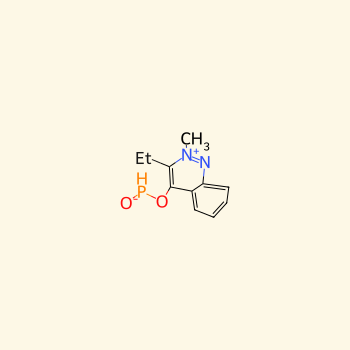 CCc1c(OP[O-])c2ccccc2n[n+]1C